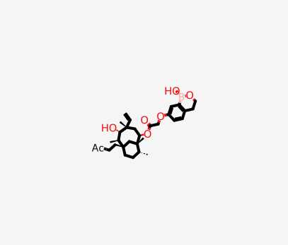 C=C[C@]1(C)C[C@@H](OC(=O)COc2ccc3c(c2)B(O)OCC3)[C@@]2(C)C[C@](CCC(C)=O)(CC[C@H]2C)[C@@H](C)[C@@H]1O